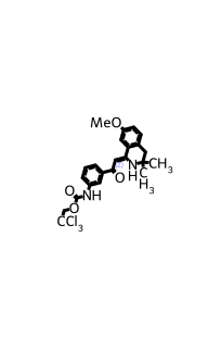 COc1ccc2c(c1)/C(=C/C(=O)c1cccc(NC(=O)OCC(Cl)(Cl)Cl)c1)NC(C)(C)C2